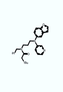 CC(C)CN(CCCN(c1cccnc1)c1ccc2occc2c1)C(=O)CC(C)(C)C